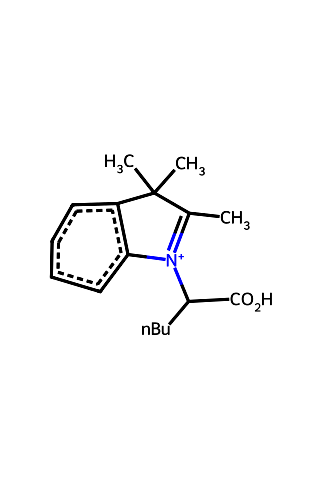 CCCCC(C(=O)O)[N+]1=C(C)C(C)(C)c2ccccc21